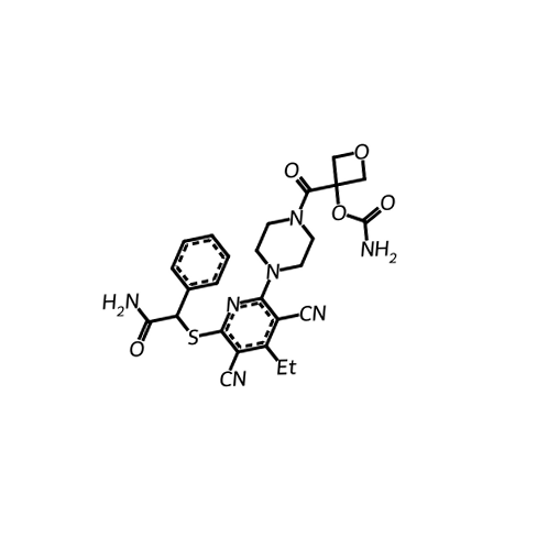 CCc1c(C#N)c(SC(C(N)=O)c2ccccc2)nc(N2CCN(C(=O)C3(OC(N)=O)COC3)CC2)c1C#N